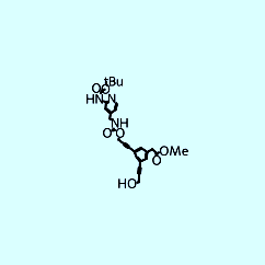 COC(=O)Cc1cc(C#CCO)cc(C#CCOC(=O)NCc2ccnc(NC(=O)OC(C)(C)C)c2)c1